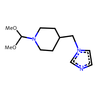 COC(OC)N1CCC(Cn2ccnc2)CC1